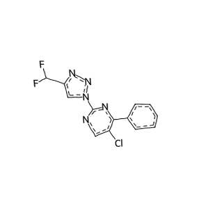 FC(F)c1cn(-c2ncc(Cl)c(-c3ccccc3)n2)nn1